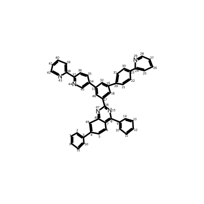 c1ccc(-c2ccc3c(-c4ccccc4)nc(-c4cc(-c5ccc(-c6ccccn6)cc5)cc(-c5ccc(-c6ccccn6)nc5)c4)nc3c2)cc1